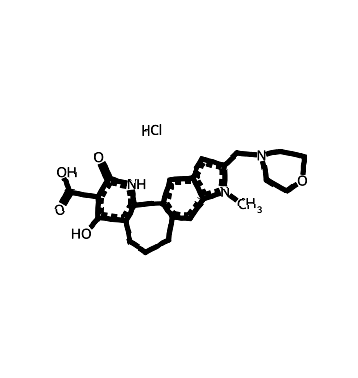 Cl.Cn1c(CN2CCOCC2)cc2cc3c(cc21)CCCc1c-3[nH]c(=O)c(C(=O)O)c1O